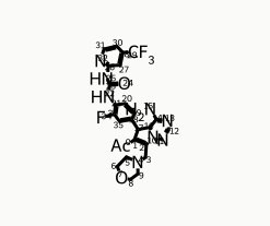 CC(=O)C1=C(CN2CCOCC2)N2N=CN=C(N)C2C1c1ccc(NC(=O)Nc2cc(C(F)(F)F)ccn2)c(F)c1